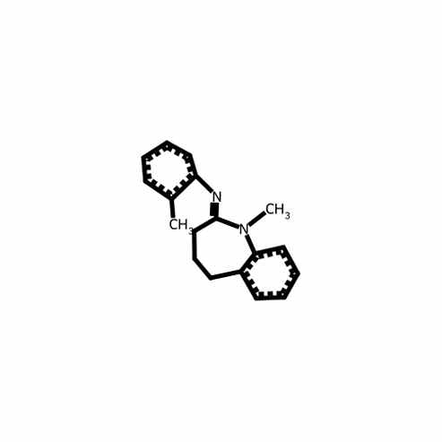 Cc1ccccc1/N=C1\CCCc2ccccc2N1C